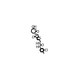 Cc1ccc(NC(=O)NCc2cc3c(s2)CN(C2CCCC(=O)NC2=O)C3=O)cc1Cl